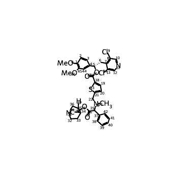 COc1ccc([C@H](Cc2c(Cl)cncc2Cl)OC(=O)c2ccc(CN(C)C(C(=O)O[C@H]3CN4CCC3CC4)c3ccccc3)s2)cc1OC